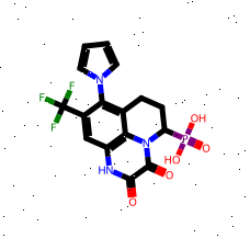 O=c1[nH]c2cc(C(F)(F)F)c(-n3cccc3)c3c2n(c1=O)C(P(=O)(O)O)CC3